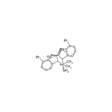 CC1=Cc2c(C(C)C)cccc2[CH]1[Hf]([CH3])([CH3])(=[SiH2])[CH]1C(C)=Cc2c(C(C)C)cccc21